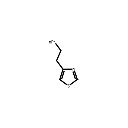 CCCCCc1cs[c]n1